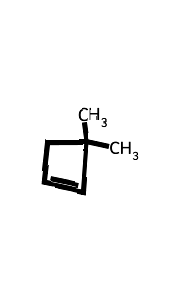 CC1(C)C=CC1